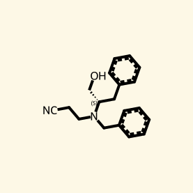 N#CCCN(Cc1ccccc1)[C@H](CO)Cc1ccccc1